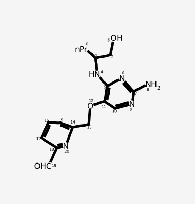 CCCC(CO)Nc1nc(N)ncc1OCc1cccc(C=O)n1